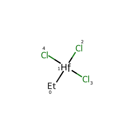 C[CH2][Hf]([Cl])([Cl])[Cl]